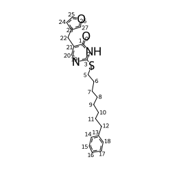 O=c1[nH]c(SCCCCCCCCc2ccccc2)ncc1Cc1ccoc1